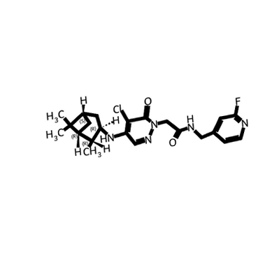 C[C@@H]1[C@H]2C[C@@H](C[C@H]1Nc1cnn(CC(=O)NCc3ccnc(F)c3)c(=O)c1Cl)C2(C)C